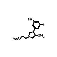 COCCN1CC(N)C(c2cc(F)cc(C#N)c2)C1